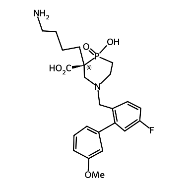 COc1cccc(-c2cc(F)ccc2CN2CCP(=O)(O)[C@](CCCCN)(C(=O)O)C2)c1